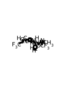 C[C@@H](NC(=O)CCC(F)(F)F)c1ccc2nc([C@@H](NC(=O)c3cnn(C)c3C(F)(F)F)C3CCC(F)(F)CC3)[nH]c2c1